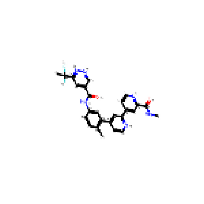 CNC(=O)c1cc(-c2cc(-c3cc(NC(=O)c4cnnc(C(C)(F)F)c4)ccc3C)ccn2)ccn1